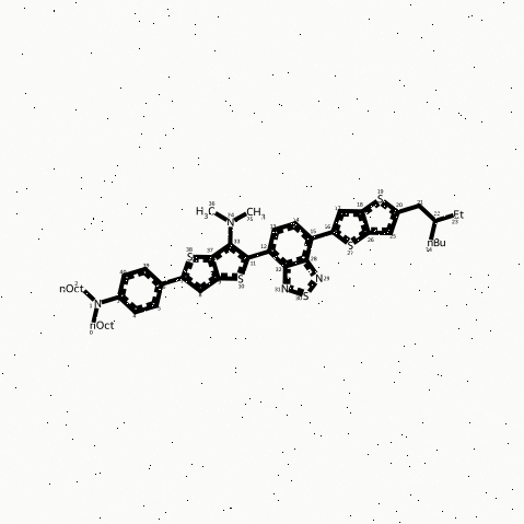 CCCCCCCCN(CCCCCCCC)c1ccc(-c2cc3sc(-c4ccc(-c5cc6sc(CC(CC)CCCC)cc6s5)c5nsnc45)c(N(C)C)c3s2)cc1